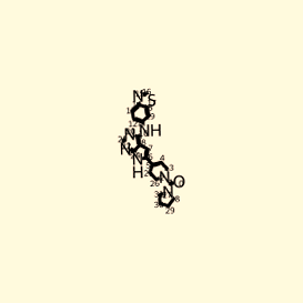 O=C(N1CC=C(c2cc3c(Nc4ccc5ncsc5c4)ncnc3[nH]2)CC1)N1CCCC1